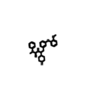 COc1ccccc1Oc1cccc(CC(NC(=O)N(C)c2ccccc2)C2CCNCC2)c1